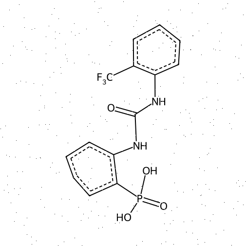 O=C(Nc1ccccc1C(F)(F)F)Nc1ccccc1P(=O)(O)O